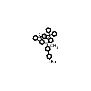 Cc1cc(-c2ccc(C(C)(C)C)cc2)ccc1N(c1ccc2c(c1)C(C)(C)c1ccccc1-2)c1cccc2c1-c1ccccc1C2(c1ccccc1)c1ccccc1